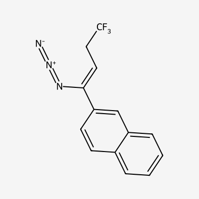 [N-]=[N+]=NC(=CCC(F)(F)F)c1ccc2ccccc2c1